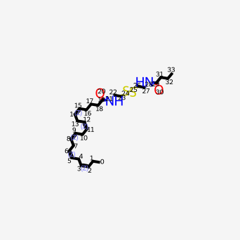 CC/C=C\C/C=C\C/C=C\C/C=C\C/C=C\CCCC(=O)NCCSSCCNC(=O)CCC